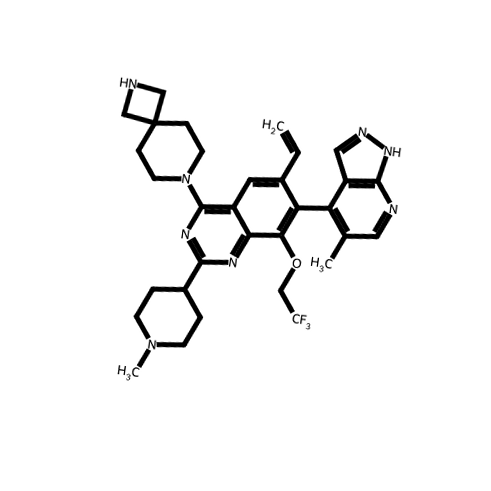 C=Cc1cc2c(N3CCC4(CC3)CNC4)nc(C3CCN(C)CC3)nc2c(OCC(F)(F)F)c1-c1c(C)cnc2[nH]ncc12